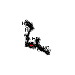 O=C1CCC(N2Cc3c(NCCCCCC(=O)N4CCC(COc5cccc(-c6ccc(Cl)cc6)c5CN5CCN(c6ccc(C(=O)NS(=O)(=O)c7ccc(NCC8CCOCC8)c([N+](=O)[O-])c7)c(Oc7cnc8[nH]ccc8c7)c6)CC5)CC4)cccc3C2=O)C(=O)N1